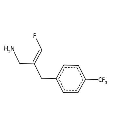 NCC(=CF)Cc1ccc(C(F)(F)F)cc1